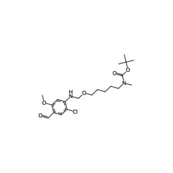 COc1cc(NCOCCCCCN(C)C(=O)OC(C)(C)C)c(Cl)cc1C=O